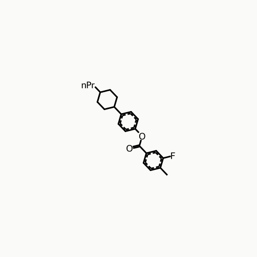 CCCC1CCC(c2ccc(OC(=O)c3ccc(C)c(F)c3)cc2)CC1